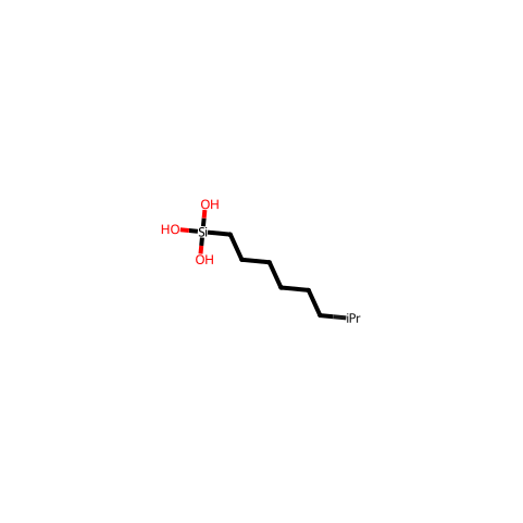 CC(C)CCCCCC[Si](O)(O)O